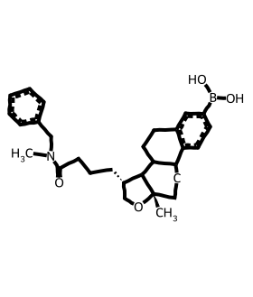 CN(Cc1ccccc1)C(=O)CCC[C@H]1CO[C@@]2(C)CCC3c4ccc(B(O)O)cc4CCC3C12